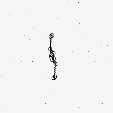 C=C(C)C(=O)OCCCCCCCCCCCOc1ccc(C(=O)Oc2ccc(OC(=O)c3ccc(OCCCCCCCCCCCOC(=O)C(=C)C)cc3)c(F)c2)cc1